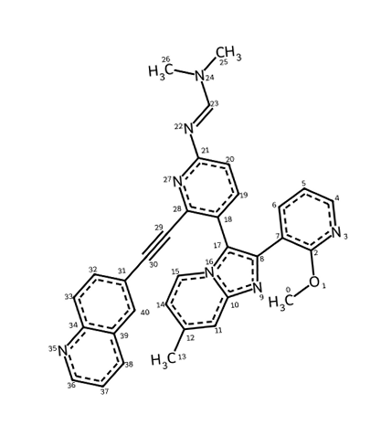 COc1ncccc1-c1nc2cc(C)ccn2c1-c1ccc(N=CN(C)C)nc1C#Cc1ccc2ncccc2c1